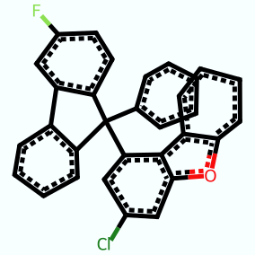 Fc1ccc2c(c1)-c1ccccc1C2(c1ccccc1)c1cc(Cl)cc2oc3ccccc3c12